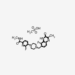 CNC(=O)c1ccc(N2CCN(Cc3ccc4nc(C)c(=O)[nH]c4c3F)CC2)c(F)n1.CS(=O)(=O)O